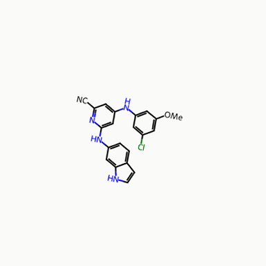 COc1cc(Cl)cc(Nc2cc(C#N)nc(Nc3ccc4cc[nH]c4c3)c2)c1